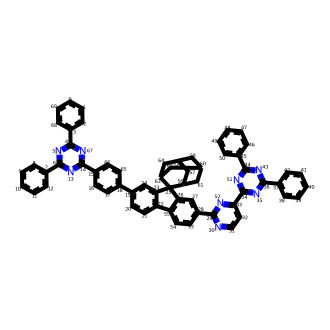 c1ccc(-c2nc(-c3ccccc3)nc(-c3ccc(-c4ccc5c(c4)C4(c6cc(-c7nccc(-c8nc(-c9ccccc9)nc(-c9ccccc9)n8)n7)ccc6-5)C5CC6CC(C5)CC4C6)cc3)n2)cc1